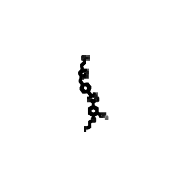 OCCc1cn(Cc2ccc(-c3noc(-c4ccc(OCCF)c(C(F)(F)F)c4)n3)cc2)nn1